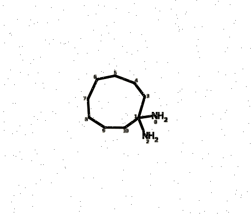 NC1(N)CCCCCCCC1